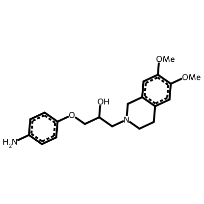 COc1cc2c(cc1OC)CN(CC(O)COc1ccc(N)cc1)CC2